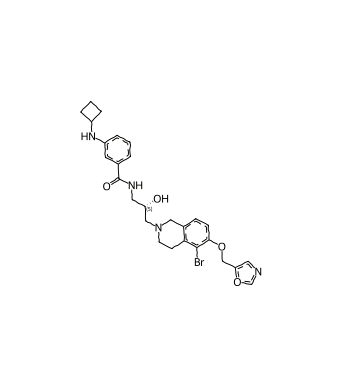 O=C(NC[C@H](O)CN1CCc2c(ccc(OCc3cnco3)c2Br)C1)c1cccc(NC2CCC2)c1